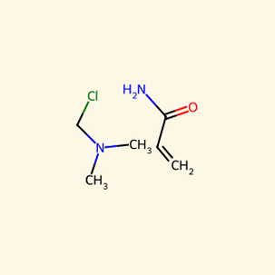 C=CC(N)=O.CN(C)CCl